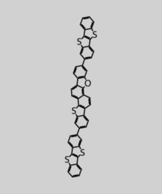 c1ccc2c(c1)sc1c3ccc(-c4ccc5c(c4)oc4c5ccc5c4ccc4c6ccc(-c7ccc8c(c7)sc7c9ccccc9sc87)cc6sc45)cc3sc21